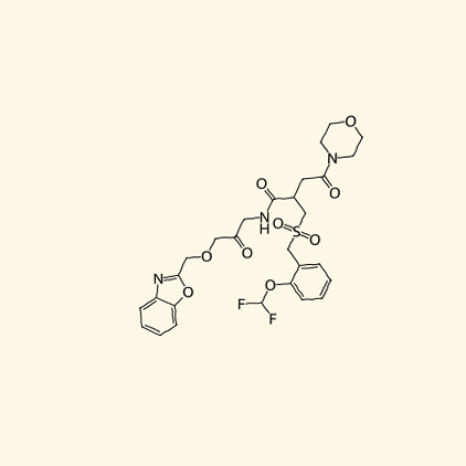 O=C(CNC(=O)C(CC(=O)N1CCOCC1)CS(=O)(=O)Cc1ccccc1OC(F)F)COCc1nc2ccccc2o1